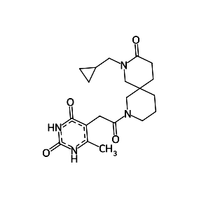 Cc1[nH]c(=O)[nH]c(=O)c1CC(=O)N1CCCC2(CCC(=O)N(CC3CC3)C2)C1